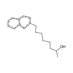 CC(O)CCCCCCc1ccc2ccccc2c1